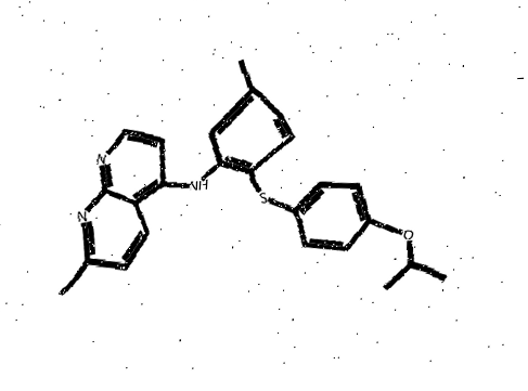 Cc1ccc(Sc2ccc(OC(C)C)cc2)c(Nc2ccnc3nc(C)ccc23)c1